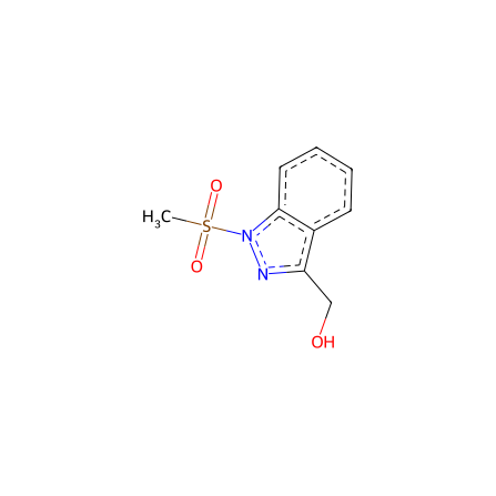 CS(=O)(=O)n1nc(CO)c2ccccc21